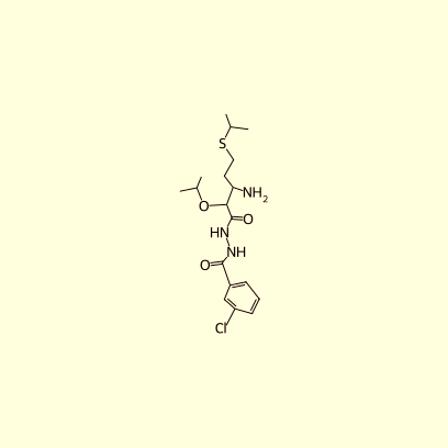 CC(C)OC(C(=O)NNC(=O)c1cccc(Cl)c1)C(N)CCSC(C)C